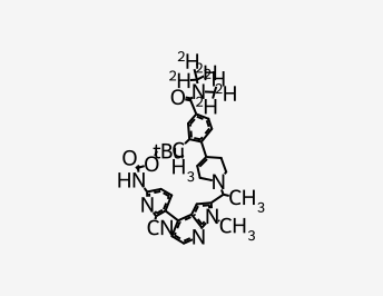 [2H]C([2H])([2H])N(C(=O)c1ccc(C2=CCN(C(C)c3cc4c(-c5ccc(NC(=O)OC(C)(C)C)nc5C#N)ccnc4n3C)CC2)c(C)c1)C([2H])([2H])[2H]